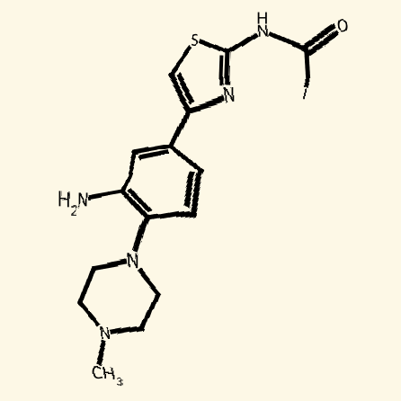 CN1CCN(c2ccc(-c3csc(NC(=O)I)n3)cc2N)CC1